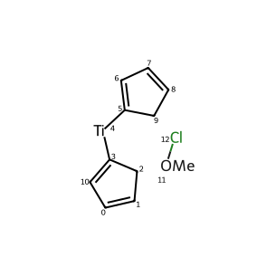 C1=CC[C]([Ti][C]2=CC=CC2)=C1.COCl